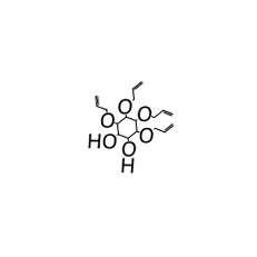 C=CCOC1C(O)C(O)C(OCC=C)C(OCC=C)C1OCC=C